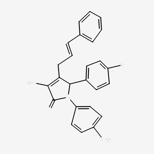 COc1ccc(N2C(=O)C(O)=C(CC=Cc3ccccc3)C2c2ccc(Br)cc2)cc1